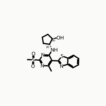 Cc1nc(S(C)(=O)=O)nc(N[C@@H]2CCC[C@H]2O)c1-c1nc2ccccc2s1